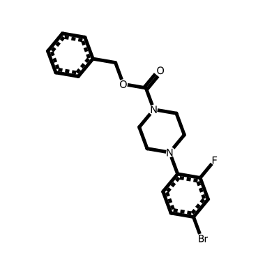 O=C(OCc1ccccc1)N1CCN(c2ccc(Br)cc2F)CC1